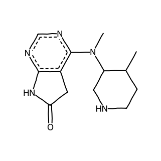 CC1CCNCC1N(C)c1ncnc2c1CC(=O)N2